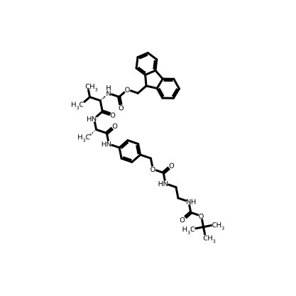 CC(C)[C@H](NC(=O)OCC1c2ccccc2-c2ccccc21)C(=O)N[C@@H](C)C(=O)Nc1ccc(COC(=O)NCCNC(=O)OC(C)(C)C)cc1